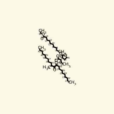 CCCC(=O)O.CCCCCCCCCC(=O)OCC.CCCCCCCCCC(C)C(=O)C(C)CCCCCCCCC.O=C1CCCO1